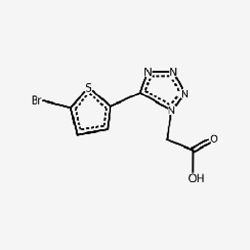 O=C(O)Cn1nnnc1-c1ccc(Br)s1